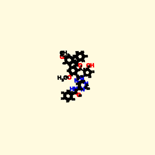 COc1ccc(C(OC[C@@H]2[C@@H](O)CC[C@@H]2n2cnc3c(NC(=O)c4ccccc4)ncnc32)(c2ccccc2)c2ccc(OC)cc2)cc1